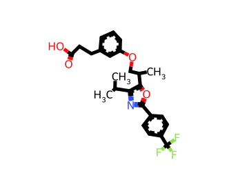 CC(C)c1nc(-c2ccc(C(F)(F)F)cc2)oc1C(C)COc1cccc(CCC(=O)O)c1